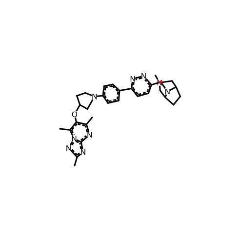 Cc1nc2nc(C)c(OC3CCN(c4ccc(-c5ccc(CN6C7CCC6CN(C)C7)nn5)cc4)C3)c(C)n2n1